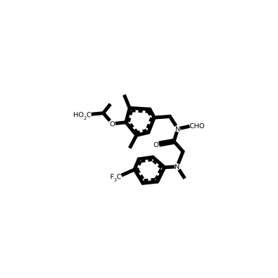 Cc1cc(CN(C=O)C(=O)CN(C)c2ccc(C(F)(F)F)cc2)cc(C)c1OC(C)C(=O)O